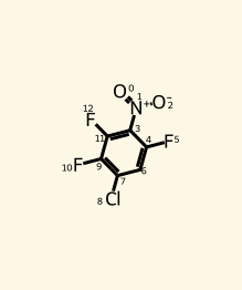 O=[N+]([O-])c1c(F)cc(Cl)c(F)c1F